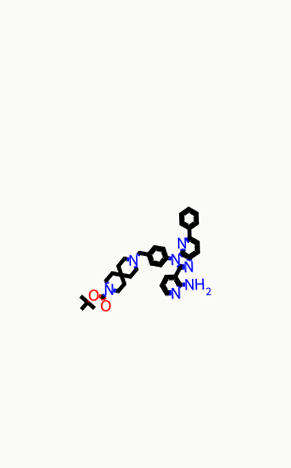 CC(C)(C)OC(=O)N1CCC2(CCN(Cc3ccc(-n4c(-c5cccnc5N)nc5ccc(-c6ccccc6)nc54)cc3)CC2)CC1